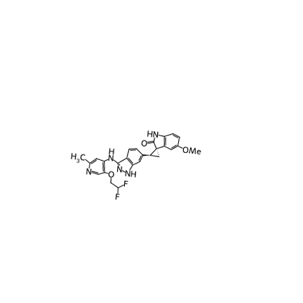 COc1ccc2c(c1)[C@]1(C[C@H]1c1ccc3c(Nc4cc(C)ncc4OCC(F)F)n[nH]c3c1)C(=O)N2